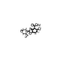 CCC1COCCN1c1nc2c(C(=O)O)c(Cl)ccc2o1